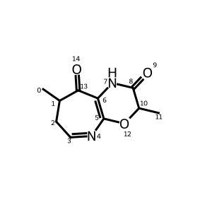 CC1CC=NC2=C(NC(=O)C(C)O2)C1=O